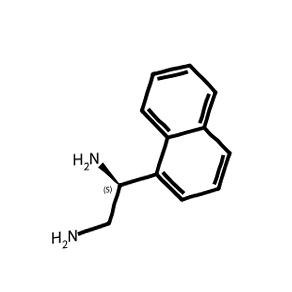 NC[C@@H](N)c1cccc2ccccc12